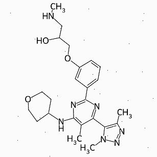 CNCC(O)COc1cccc(-c2nc(NC3CCOCC3)c(C)c(-c3c(C)nnn3C)n2)c1